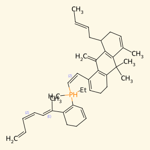 C=C/C=C\C=C(/C)C1=C([PH](C)(/C=C\C2=CCCC3=C2C(=C)C2=C(C(C)=CCC2CC=CC)C3(C)C)CC)C=CCC1